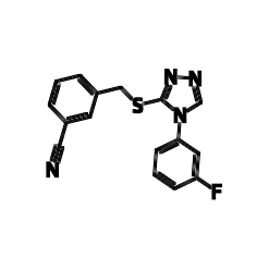 N#Cc1cccc(CSc2nncn2-c2cccc(F)c2)c1